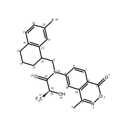 Cc1noc(=O)c2ccc(N(CC3CCCc4ccc(F)cc43)C(=O)[C@@H](O)C(F)(F)F)cc12